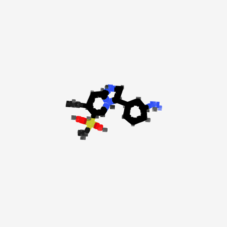 COc1cc2ncc(-c3cccc(N)c3)n2cc1S(=O)(=O)C(C)(C)C